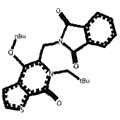 CCCCOc1c(CN2C(=O)c3ccccc3C2=O)n(CC(C)(C)C)c(=O)c2sccc12